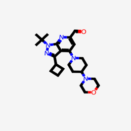 CC(C)(C)n1nc(C2CCC2)c2c(N3CCC(N4CCOCC4)CC3)cc(C=O)nc21